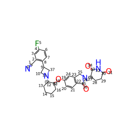 N#Cc1cc(F)ccc1C1CN([C@H]2CCCC[C@@H]2Oc2ccc3c(c2)CN([C@H]2CCC(=O)NC2=O)C3=O)C1